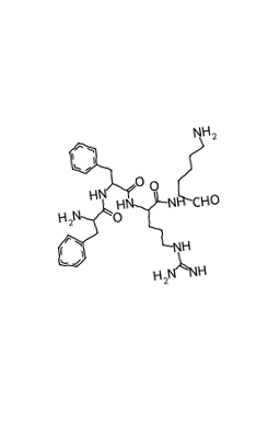 N=C(N)NCCCC(NC(=O)C(Cc1ccccc1)NC(=O)C(N)Cc1ccccc1)C(=O)NC(C=O)CCCCN